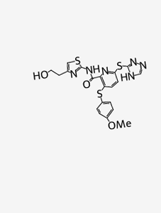 COc1ccc(Sc2ccc(Sc3nnc[nH]3)nc2C(=O)Nc2nc(CCO)cs2)cc1